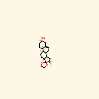 C[C@]12CC[C@H](O)CC1=CCC1C2CC[C@@]2(C)C1C[C@@H](F)C21OCCO1